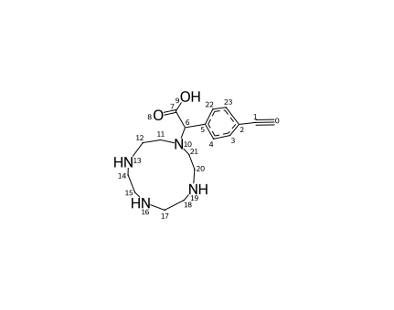 C#Cc1ccc(C(C(=O)O)N2CCNCCNCCNCC2)cc1